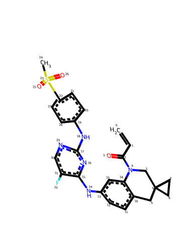 C=CC(=O)N1CC2(CC2)Cc2ccc(Nc3nc(Nc4ccc(S(C)(=O)=O)cc4)ncc3F)cc21